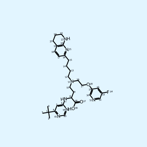 CC(C)(C)c1cc(NC(CCN(CCCCc2ccc3c(n2)NCCC3)CCOc2cncc(F)c2)C(=O)O)ncn1